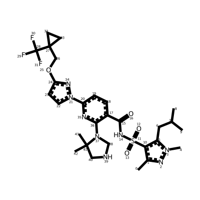 Cc1nn(C)c(CC(C)C)c1S(=O)(=O)NC(=O)c1ccc(-n2ccc(OCC3(C(F)(F)F)CC3)n2)nc1N1CNCC1(C)C